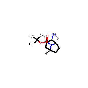 CC(C)(C)OC(=O)N1[C@H]2CC[C@@H](N)[C@H]1CC2